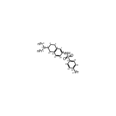 CCCN(CCC)C1CCc2cc(NS(=O)(=O)c3ccc(C(C)C)cc3)ccc2C1